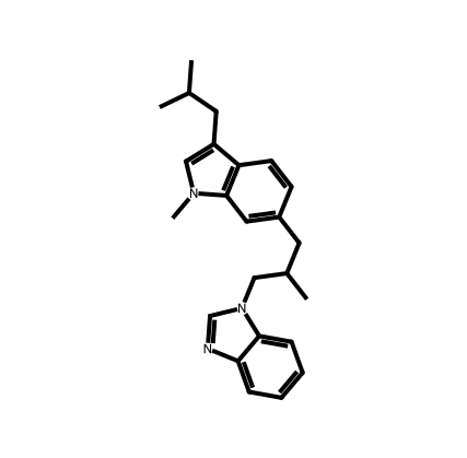 CC(C)Cc1cn(C)c2cc(CC(C)Cn3cnc4ccccc43)ccc12